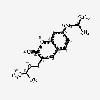 CC(C)Nc1ccc2cc(COC(C)C)c(=O)oc2c1